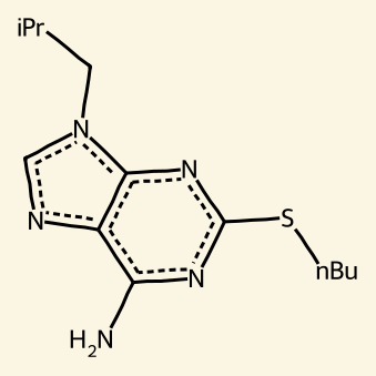 CCCCSc1nc(N)c2ncn(CC(C)C)c2n1